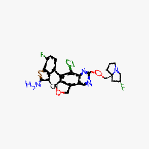 N#Cc1c(N)sc2c(F)ccc(-c3c4c(c5cnc(OC[C@@]67CCCN6C[C@H](F)C7)nc5c3Cl)COC4)c12